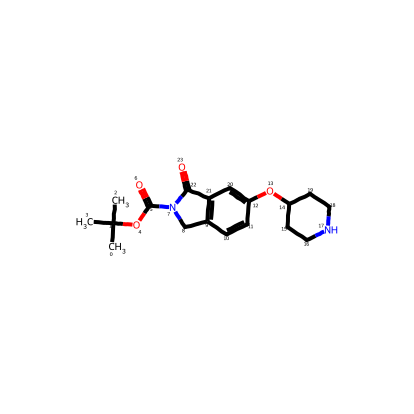 CC(C)(C)OC(=O)N1Cc2ccc(OC3CCNCC3)cc2C1=O